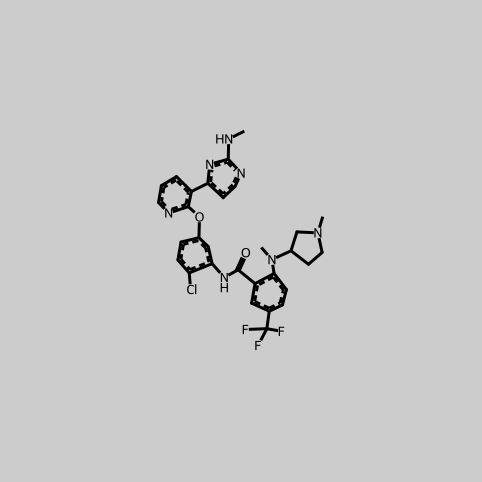 CNc1nccc(-c2cccnc2Oc2ccc(Cl)c(NC(=O)c3cc(C(F)(F)F)ccc3N(C)C3CCN(C)C3)c2)n1